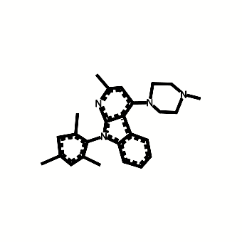 Cc1cc(C)c(-n2c3ccccc3c3c(N4CCN(C)CC4)cc(C)nc32)c(C)c1